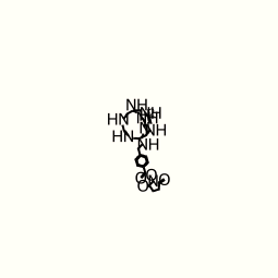 NC12CNCCNCC(NCc3ccc(C(=O)ON4C(=O)CCC4=O)cc3)(CNCCNC1)CNCCNC2